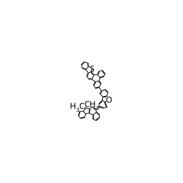 CC1(C)c2cc(-c3ccc4oc5ccc(-c6ccc7c(c6)c6ccccc6c6c7ccc7c8ccccc8sc76)cc5c4c3)c3ccccc3c2C2C=CC=CC21